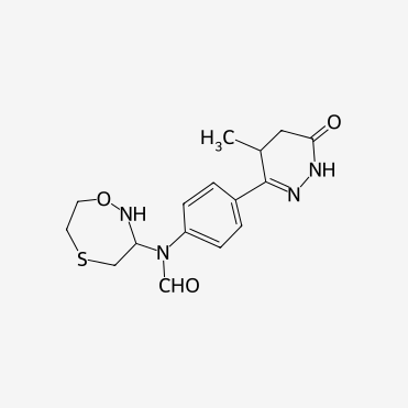 CC1CC(=O)NN=C1c1ccc(N(C=O)C2CSCCON2)cc1